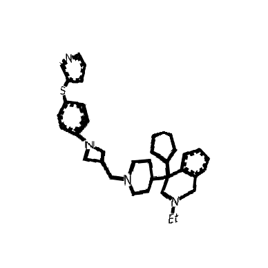 CCN1Cc2ccccc2C(C2CCCC2)(C2CCN(CC3CN(c4ccc(Sc5cccnc5)cc4)C3)CC2)C1